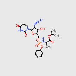 CC(C)OC(=O)[C@@H](C)NP(=O)(OC[C@H]1O[C@@H](n2ccc(=O)[nH]c2=O)C(N=[N+]=[N-])[C@@H]1O)Oc1ccccc1